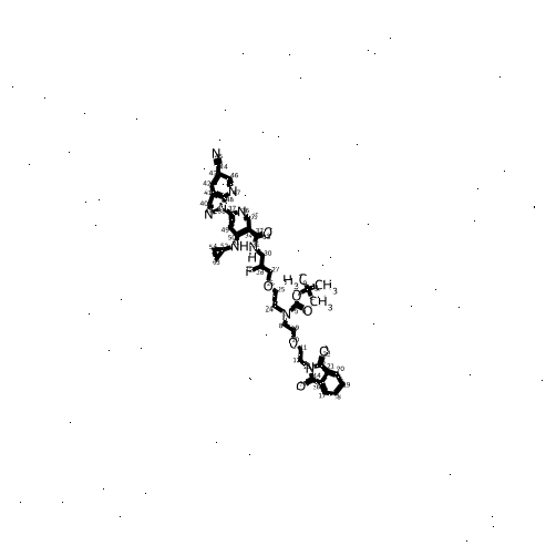 CC(C)(C)OC(=O)N(CCOCCN1C(=O)c2ccccc2C1=O)CCOCC(F)CNC(=O)c1cnc(-n2ncc3cc(C#N)cnc32)cc1NC1CC1